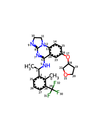 Cc1c([C@@H](C)NC2=NC3=NCCN3c3ccc(OC4CCOC4)cc32)cccc1C(F)(F)F